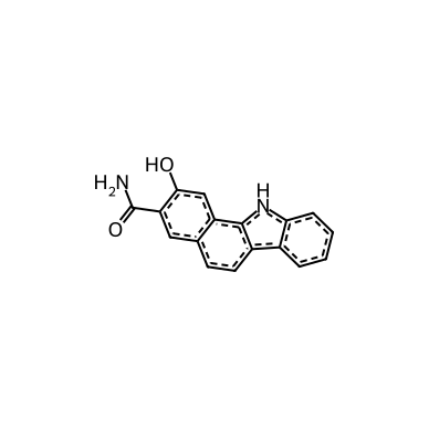 NC(=O)c1cc2ccc3c4ccccc4[nH]c3c2cc1O